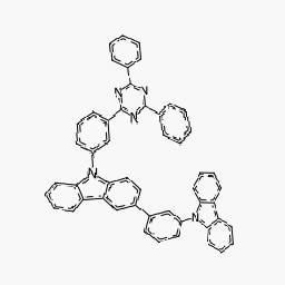 c1ccc(-c2nc(-c3ccccc3)nc(-c3cccc(-n4c5ccccc5c5cc(-c6cccc(-n7c8ccccc8c8ccccc87)c6)ccc54)c3)n2)cc1